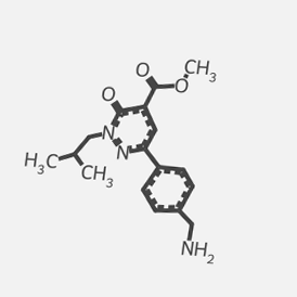 COC(=O)c1cc(-c2ccc(CN)cc2)nn(CC(C)C)c1=O